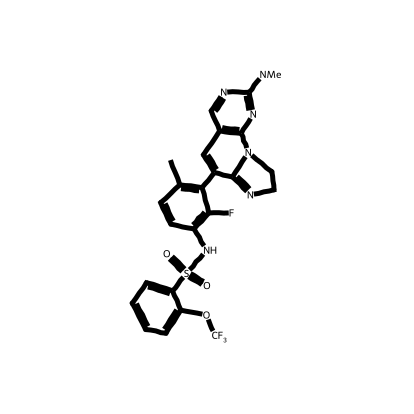 CNc1ncc2c(n1)N1CCN=C1C(c1c(C)ccc(NS(=O)(=O)c3ccccc3OC(F)(F)F)c1F)=C2